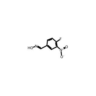 O=[N+]([O-])c1cc(/C=N/O)ccc1F